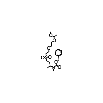 COC(C)OCCOCCS(=O)(=O)CCC(C)N(C)C(=O)OCc1ccccc1